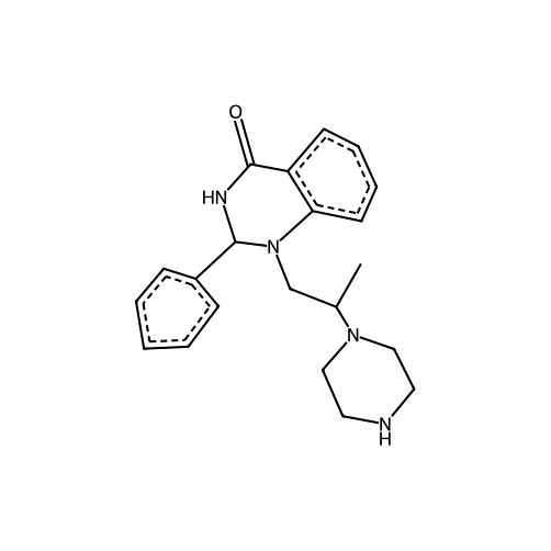 CC(CN1c2ccccc2C(=O)NC1c1ccccc1)N1CCNCC1